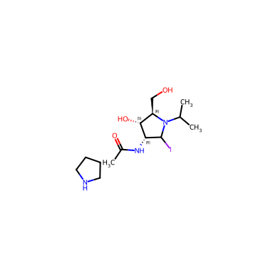 C1CCNC1.CC(=O)N[C@H]1C(I)N(C(C)C)[C@H](CO)[C@H]1O